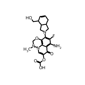 CN1COc2c(N3CC4CC=CC(CO)C4C3)c(F)c(N)c3c(=O)c(OC(=O)O)cn1c23